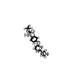 CC(C)(C)OC(=O)Nc1ccc(Oc2ccnc(-n3cncn3)n2)cc1